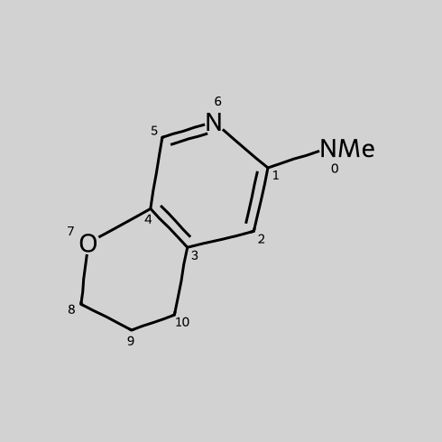 CNc1cc2c(cn1)OCCC2